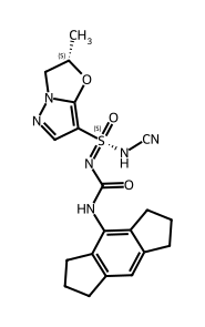 C[C@H]1Cn2ncc([S@@](=O)(=NC(=O)Nc3c4c(cc5c3CCC5)CCC4)NC#N)c2O1